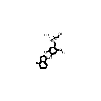 CCOc1cc(O[C@H]2CCc3c(C)cccc32)c(Cl)cc1CN[C@H](CO)C(=O)O